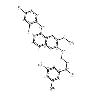 COc1cc2c(Nc3ccc(Cl)cc3F)ncnc2cc1OCCN(C)c1cc(C)nc(C)c1